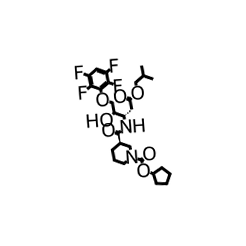 CC(C)COC(=O)C[C@H](NC(=O)[C@@H]1CCCN(C(=O)OC2CCCC2)C1)C(O)COc1c(F)c(F)cc(F)c1F